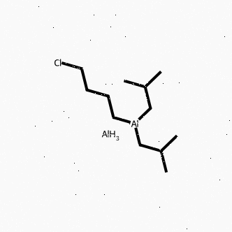 CC(C)[CH2][Al]([CH2]CCCCl)[CH2]C(C)C.[AlH3]